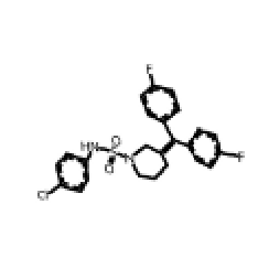 O=S(=O)(Nc1ccc(Cl)cc1)N1CCCC(=C(c2ccc(F)cc2)c2ccc(F)cc2)C1